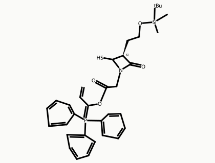 C=CC(OC(=O)CN1C(=O)[C@H](CCO[Si](C)(C)C(C)(C)C)C1S)=P(c1ccccc1)(c1ccccc1)c1ccccc1